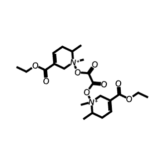 CCOC(=O)C1=CCC(C)[N+](C)(OC(=O)C(=O)O[N+]2(C)CC(C(=O)OCC)=CCC2C)C1